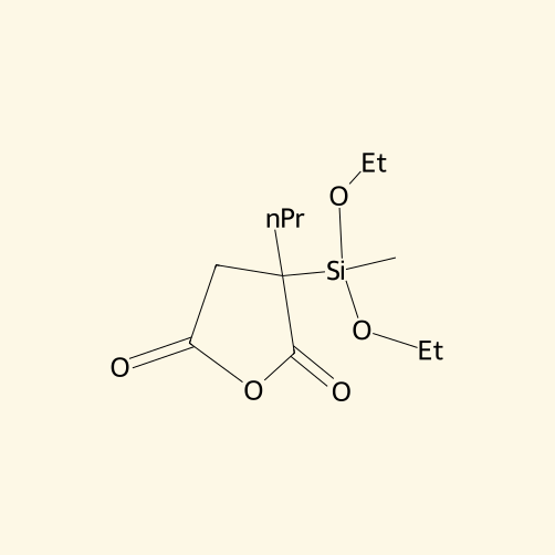 CCCC1([Si](C)(OCC)OCC)CC(=O)OC1=O